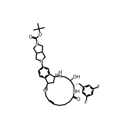 CC(C)(C)OC(=O)N1CC2CN(c3ccc4c(c3)[C@@H]3C[C@H]4OCC=CCCCC(=O)N[C@@H](Cc4cc(F)cc(F)c4)[C@H](O)CN3)CC2C1